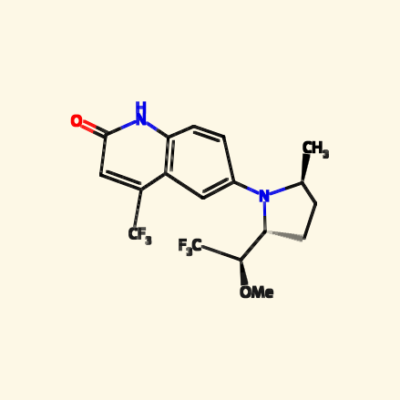 CO[C@H]([C@H]1CC[C@H](C)N1c1ccc2[nH]c(=O)cc(C(F)(F)F)c2c1)C(F)(F)F